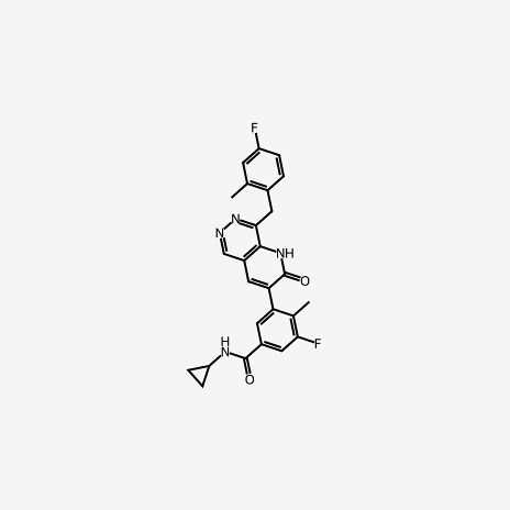 Cc1cc(F)ccc1Cc1nncc2cc(-c3cc(C(=O)NC4CC4)cc(F)c3C)c(=O)[nH]c12